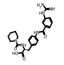 N=C(N)Nc1cccc(C(=O)Nc2ccc(C[C@H](NC(=O)N3CCCCC3)C(=O)O)cc2)c1